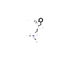 CCCCCCCCS(=O)(=O)Nc1ccccc1C(=O)C(=O)NCCCN/C(=N\C(=O)OC(C)(C)C)NC(=O)OC(C)(C)C